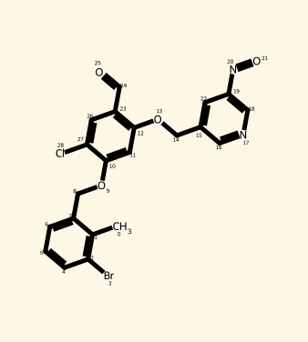 Cc1c(Br)cccc1COc1cc(OCc2cncc(N=O)c2)c(C=O)cc1Cl